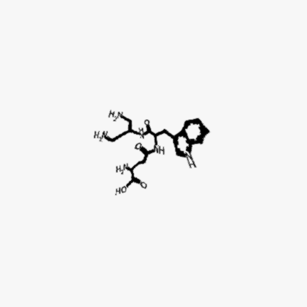 NCC(CN)NC(=O)C(Cc1c[nH]c2ccccc12)NC(=O)CC(N)C(=O)O